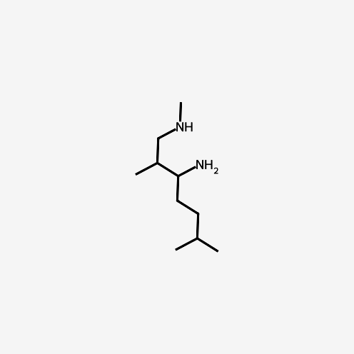 CNCC(C)C(N)CCC(C)C